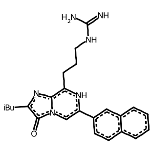 CCC(C)c1nc2c(CCCNC(=N)N)[nH]c(-c3ccc4ccccc4c3)cn-2c1=O